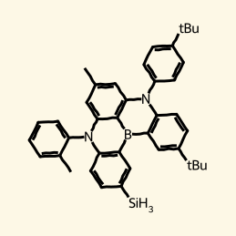 Cc1cc2c3c(c1)N(c1ccccc1C)c1ccc([SiH3])cc1B3c1cc(C(C)(C)C)ccc1N2c1ccc(C(C)(C)C)cc1